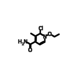 CCON1C=CC(C(N)=O)=C(C)C1Cl